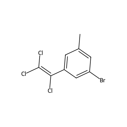 Cc1cc(Br)cc(C(Cl)=C(Cl)Cl)c1